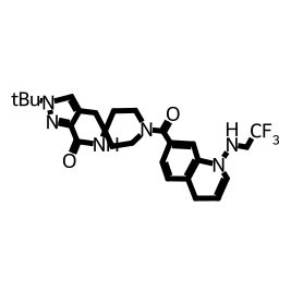 CC(C)(C)n1cc2c(n1)C(=O)NC1(CCN(C(=O)c3ccc4c(c3)N(NCC(F)(F)F)C=CC4)CC1)C2